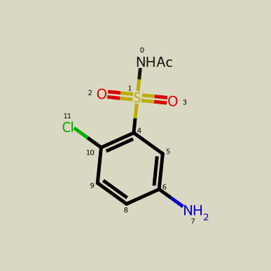 CC(=O)NS(=O)(=O)c1cc(N)ccc1Cl